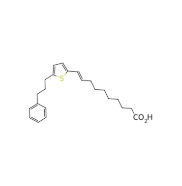 O=C(O)CCCCCCCC=Cc1ccc(CCCc2ccccc2)s1